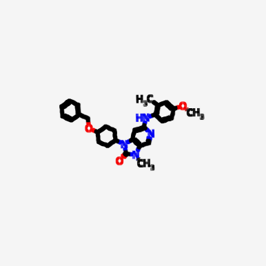 COc1ccc(Nc2cc3c(cn2)n(C)c(=O)n3C2CCC(OCc3ccccc3)CC2)c(C)c1